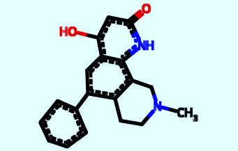 CN1CCc2c(-c3ccccc3)cc3c(O)cc(=O)[nH]c3c2C1